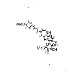 COc1ccc(CCCC[C@@H]2CCNC(C(=O)N[C@H]([C@H](C)Cl)[C@H]3OC(SC)[C@H](O)C(O)C3O)CC2)cc1